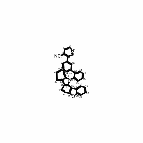 N#Cc1ccncc1-c1cccc(-c2ccccc2-n2c3ccccc3c3ccc4oc5ccccc5c4c32)c1